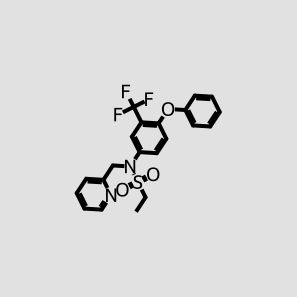 CCS(=O)(=O)N(Cc1ccccn1)c1ccc(Oc2ccccc2)c(C(F)(F)F)c1